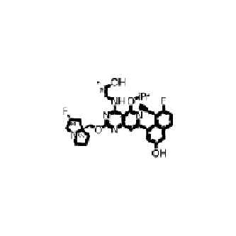 C#Cc1c(F)ccc2cc(O)cc(-c3cc4nc(OC[C@@]56CCCN5C[C@H](F)C6)nc(NC[C@H](C)O)c4c(OC(C)C)n3)c12